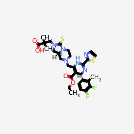 CCOC(=O)C1=C(CN2CCN3C(=S)N(CC(C)(C)C(=O)O)C[C@@H]3C2)NC(c2nccs2)=N[C@@H]1c1ccc(F)c(F)c1C